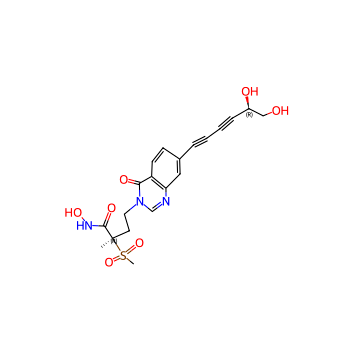 C[C@@](CCn1cnc2cc(C#CC#C[C@@H](O)CO)ccc2c1=O)(C(=O)NO)S(C)(=O)=O